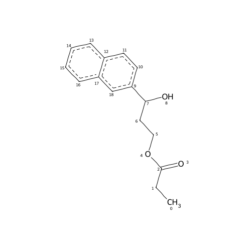 CCC(=O)OCCC(O)c1ccc2ccccc2c1